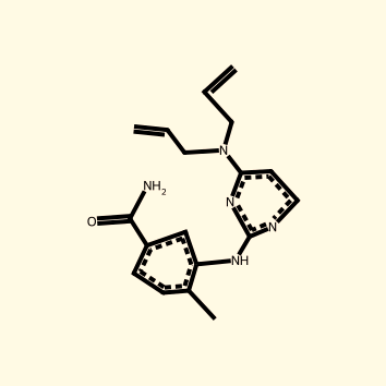 C=CCN(CC=C)c1ccnc(Nc2cc(C(N)=O)ccc2C)n1